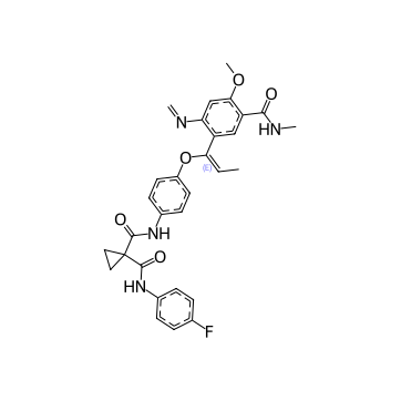 C=Nc1cc(OC)c(C(=O)NC)cc1/C(=C\C)Oc1ccc(NC(=O)C2(C(=O)Nc3ccc(F)cc3)CC2)cc1